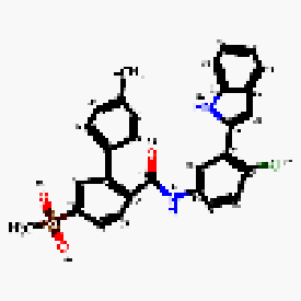 Cc1ccc(-c2cc(S(C)(=O)=O)ccc2C(=O)Nc2ccc(Cl)c(-c3cc4ccccc4[nH]3)c2)cc1